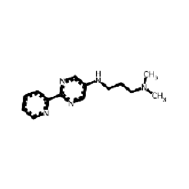 CN(C)CCCNc1cnc(-c2ccccn2)nc1